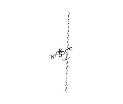 CCCCCCCCCCCC=CC=CC(=O)O[C@H](COC(=O)CCCCCCCCCCCCCCCCC)COP(=O)([O-])OCC[N+](C)(C)C